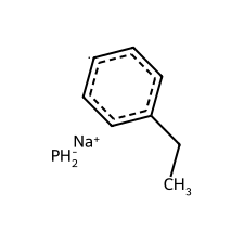 CCc1cc[c]cc1.[Na+].[PH2-]